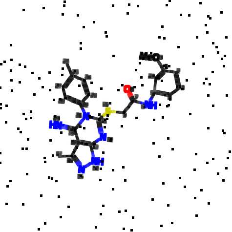 COc1cccc(NC(=O)CSc2nc3[nH]nc(C)c3c(=N)n2-c2ccc(C)cc2)c1